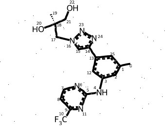 Cc1cc(Nc2nccc(C(F)(F)F)n2)cc(-c2cn(C[C@@](C)(O)CO)nn2)c1